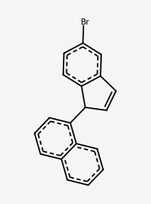 Brc1ccc2c(c1)C=CC2c1cccc2ccccc12